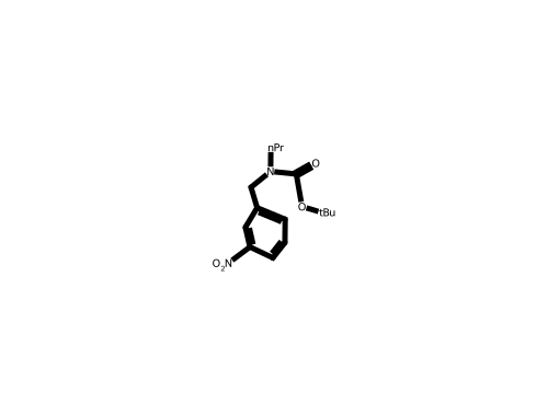 CCCN(Cc1cccc([N+](=O)[O-])c1)C(=O)OC(C)(C)C